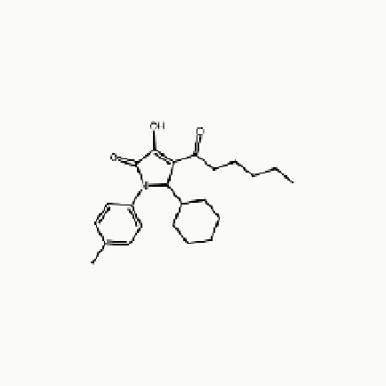 CCCCCC(=O)C1=C(O)C(=O)N(c2ccc(C)cc2)C1C1CCCCC1